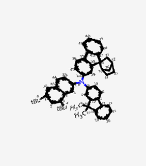 CC(C)(C)c1cc(C(C)(C)C)c2cc(N(c3ccc4c(c3)C(C)(C)c3ccccc3-4)c3ccc4c(c3)C3(CC5CCC3C5)c3ccccc3-4)ccc2c1